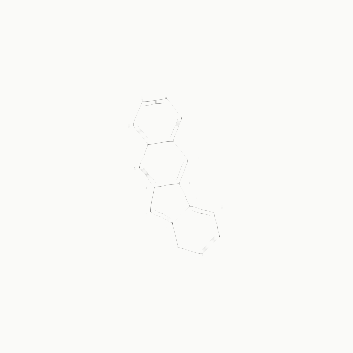 C1=CCC2=Cc3cc4ccccc4cc3C2=C1